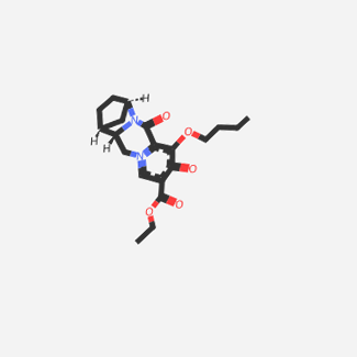 CCCCOc1c2n(cc(C(=O)OCC)c1=O)C[C@@H]1[C@H]3CC[C@H](C3)N1C2=O